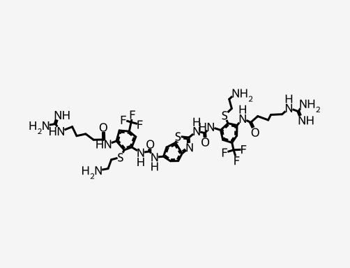 N=C(N)NCCCCC(=O)Nc1cc(C(F)(F)F)cc(NC(=O)Nc2ccc3nc(NC(=O)Nc4cc(C(F)(F)F)cc(NC(=O)CCCCNC(=N)N)c4SCCN)sc3c2)c1SCCN